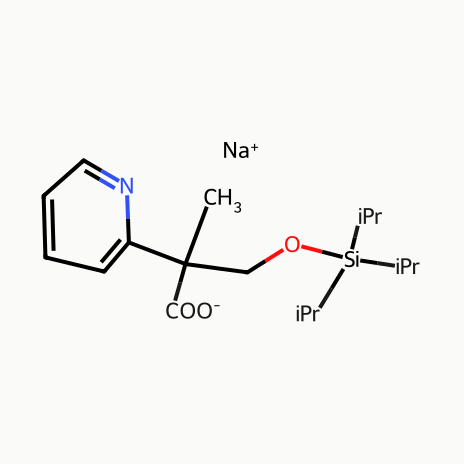 CC(C)[Si](OCC(C)(C(=O)[O-])c1ccccn1)(C(C)C)C(C)C.[Na+]